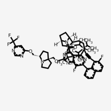 CC(C)[Si](C#Cc1c(F)ccc2cccc(-c3nc4c5c(nc(OC[C@@]67CCCN6[C@H](COc6cc(C(F)(F)F)ncn6)CC7)nc5c3F)N3C[C@H]5CC[C@@H]([C@H]3CC[C@H]4C)N5C(=O)OC(C)(C)C)c12)(C(C)C)C(C)C